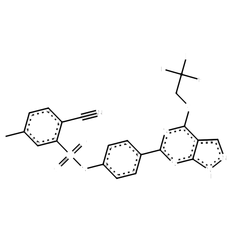 Cc1ccc(C#N)c(S(=O)(=O)Nc2ccc(-c3nc(OCC(F)(F)F)c4cn[nH]c4n3)cc2)c1